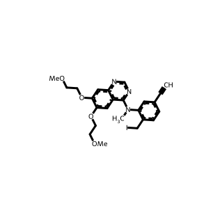 C#Cc1ccc(CI)c(N(C)c2ncnc3cc(OCCOC)c(OCCOC)cc23)c1